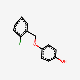 Oc1ccc(OCc2ccccc2F)cc1